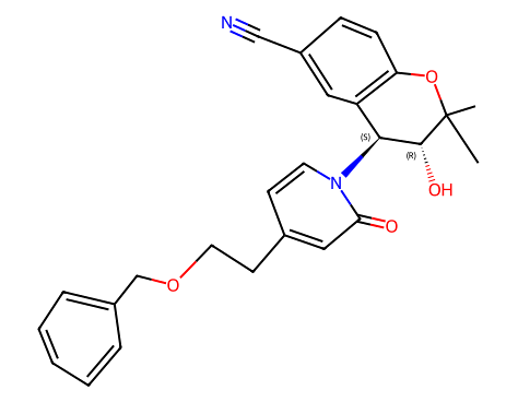 CC1(C)Oc2ccc(C#N)cc2[C@H](n2ccc(CCOCc3ccccc3)cc2=O)[C@H]1O